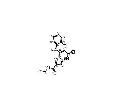 CCOC(=O)c1cc2nc(Cl)cc(N(C)c3ccccc3Cl)n2n1